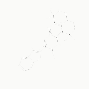 CC1(C)CCN2CCC(C)(C)c3c4c(cc1c32)C=C(c1nc2ccccc2s1)C(O)O4